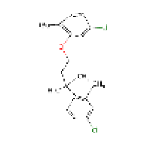 Cc1cc(Cl)ccc1C(C)(C)CCOc1cc(Cl)ccc1C(C)(C)C